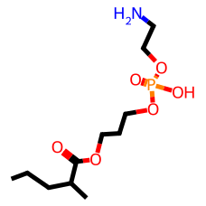 CCCC(C)C(=O)OCCCOP(=O)(O)OCCN